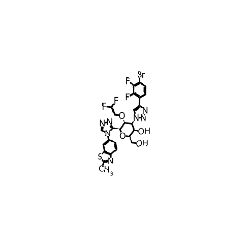 Cc1nc2ccc(-n3cnnc3[C@@H]3O[C@H](CO)[C@H](O)[C@H](n4cc(-c5ccc(Br)c(F)c5F)nn4)[C@H]3OCC(F)F)cc2s1